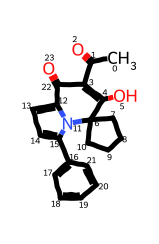 CC(=O)C1=C(O)C2(CCCC2)n2c(ccc2-c2ccccc2)C1=O